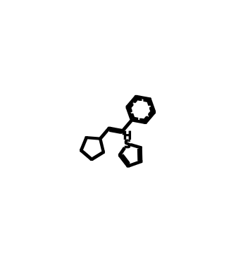 C1=C[SH](C(=CC2CCCC2)c2ccccc2)C=C1